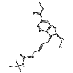 [H]/N=c1/sc2nc(C(=O)OC)cnc2n1CC=CCNC(=O)OC(C)(C)C